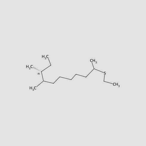 CCSC(C)CCCCCC(C)[C@H](C)CC